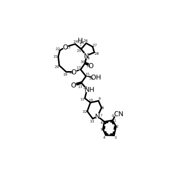 N#Cc1ccccc1N1CCC(CNC(=O)[C@H](O)[C@H]2OCCCCOC[C@H]3CCCN3C2=O)CC1